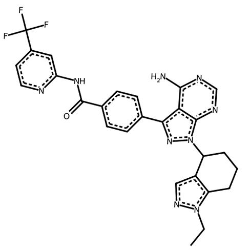 CCn1ncc2c1CCCC2n1nc(-c2ccc(C(=O)Nc3cc(C(F)(F)F)ccn3)cc2)c2c(N)ncnc21